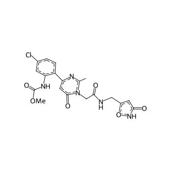 COC(=O)Nc1cc(Cl)ccc1-c1cc(=O)n(CC(=O)NCc2cc(=O)[nH]o2)c(C)n1